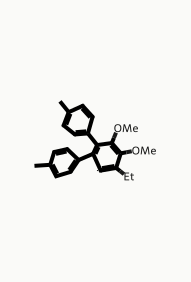 CCc1[c]c(-c2ccc(C)cc2)c(-c2ccc(C)cc2)c(OC)c1OC